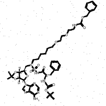 CC(C)(C)OC(=O)N[C@@H](Cc1ccccc1)C(=O)NS(=O)(=O)N(CCCCCCOCCOCCNC(=O)OCc1ccccc1)C[C@H]1O[C@@H](n2cnc3c(N)ncnc32)[C@@H]2OC(C)(C)O[C@@H]21